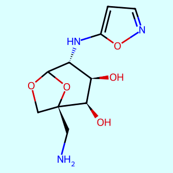 NC[C@@]12COC(O1)[C@H](Nc1ccno1)[C@@H](O)[C@H]2O